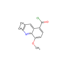 CC.COc1ccc(C(=O)Cl)c2cccnc12